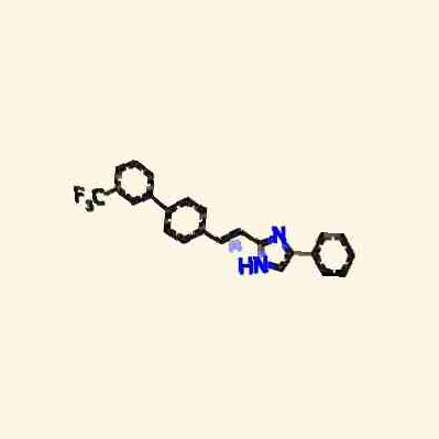 FC(F)(F)c1cccc(-c2ccc(/C=C/c3nc(-c4ccccc4)c[nH]3)cc2)c1